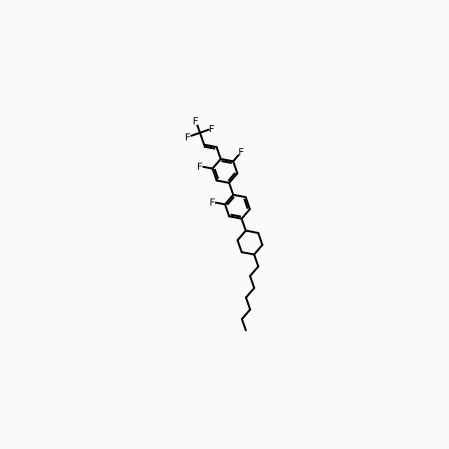 CCCCCCCC1CCC(c2ccc(-c3cc(F)c(/C=C/C(F)(F)F)c(F)c3)c(F)c2)CC1